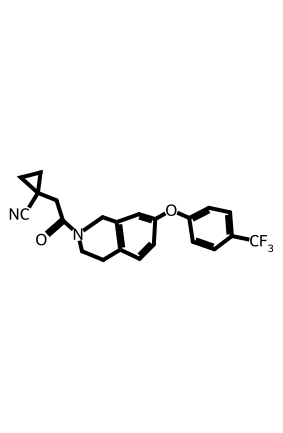 N#CC1(CC(=O)N2CCc3ccc(Oc4ccc(C(F)(F)F)cc4)cc3C2)CC1